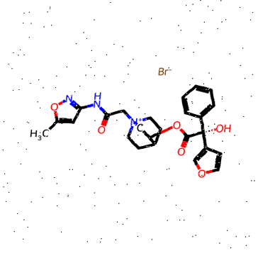 Cc1cc(NC(=O)C[N+]23CCC(CC2)C(OC(=O)[C@@](O)(c2ccccc2)c2ccoc2)C3)no1.[Br-]